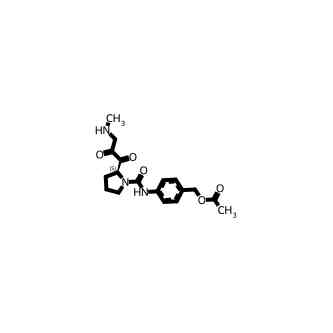 CNCC(=O)C(=O)[C@@H]1CCCN1C(=O)Nc1ccc(COC(C)=O)cc1